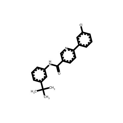 CC(C)(C)c1cccc(NC(=O)c2ccc(-c3cccc(Cl)c3)nc2)c1